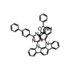 c1ccc(-c2ccc(-c3nc(-c4ccccc4)nc(-n4c5ccccc5c5ccc6c7ccccc7n(-c7ccc8c(c7)NC(c7ccccc7)O8)c6c54)n3)cc2)cc1